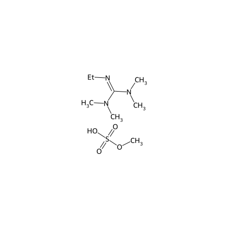 CCN=C(N(C)C)N(C)C.COS(=O)(=O)O